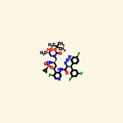 C[C@H](O)CN(C[C@H](CCc1c(F)cncc1NC(=O)C(N=[N+]=[N-])[C@@H](c1ccc(F)cc1)c1cc(F)cc(F)c1)NS(=O)(=O)C1CC1)C(=O)OC(C)(C)C